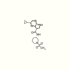 CS(=O)(=O)N1CCC[C@H](NC(=O)c2c[nH]c3ncc(C4CC4)nc23)C1